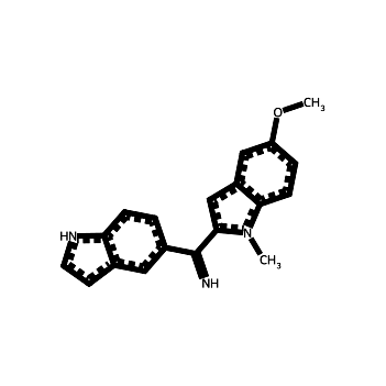 COc1ccc2c(c1)cc(C(=N)c1ccc3[nH]ccc3c1)n2C